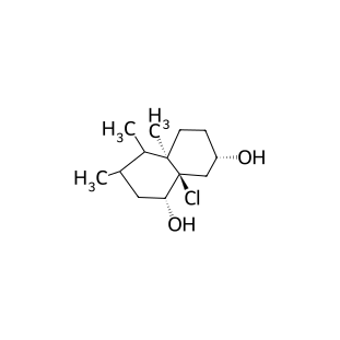 CC1C[C@@H](O)[C@@]2(Cl)C[C@@H](O)CC[C@]2(C)C1C